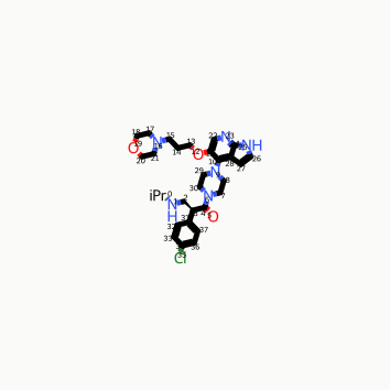 CC(C)NC[C@@H](C(=O)N1CCN(c2c(OCCCN3CCOCC3)cnc3[nH]ccc23)CC1)c1ccc(Cl)cc1